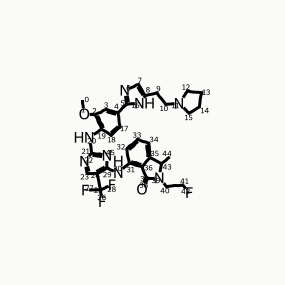 COc1cc(-c2ncc(CCN3CCCC3)[nH]2)ccc1Nc1ncc(C(F)(F)F)c(Nc2cccc3c2C(=O)N(CCF)C3C)n1